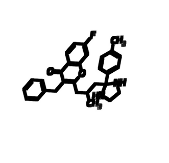 Cc1ccc(C2(CC(C)Cc3oc4cc(F)ccc4c(=O)c3Cc3ccccc3)NCCN2)cc1